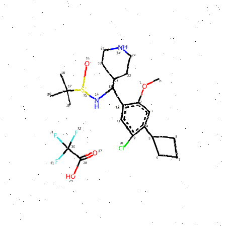 COc1cc(C2CCC2)c(Cl)cc1C(N[S+]([O-])C(C)(C)C)C1CCNCC1.O=C(O)C(F)(F)F